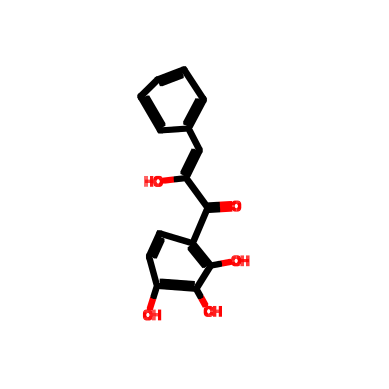 O=C(C(O)=Cc1ccccc1)c1ccc(O)c(O)c1O